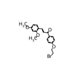 COc1ccc(C=CC(=O)c2ccc(OCCBr)cc2)c(OC)c1